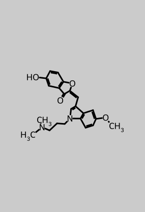 COc1ccc2c(c1)c(C=C1Oc3ccc(O)cc3C1=O)cn2CCCN(C)C